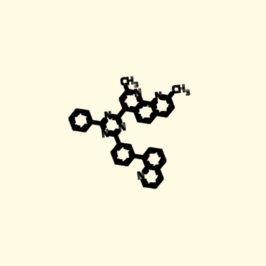 Cc1ccc2ccc3c(-c4nc(-c5ccccc5)nc(-c5cccc(-c6cccc7cccnc67)c5)n4)cc(C)nc3c2n1